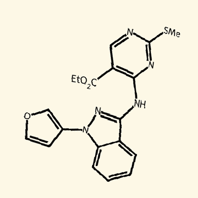 CCOC(=O)c1cnc(SC)nc1Nc1nn(-c2ccoc2)c2ccccc12